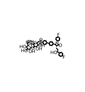 O=C1[C@H](CCC(O)c2ccc(F)cc2)C(c2ccc(-c3ccc(S(=O)(=O)CC4OC(CO)C(OC5OC(CO)C(O)C(O)C5O)C(O)C4O)cc3)cc2)N1c1ccc(F)cc1